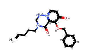 C=CCCCN1CNn2ccc(=O)c(OCc3ccccc3)c2C1=O